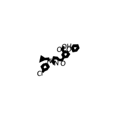 O=C(c1ccc(Oc2ccccc2)c(C(=O)O)c1)c1ccc(N(CC2CC2)c2ccc(Cl)cc2)cn1